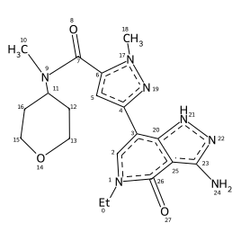 CCn1cc(-c2cc(C(=O)N(C)C3CCOCC3)n(C)n2)c2[nH]nc(N)c2c1=O